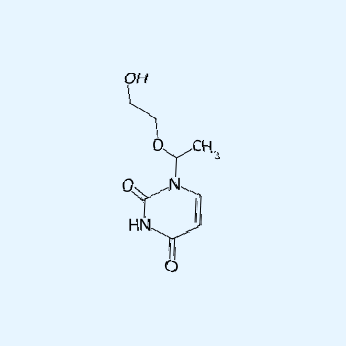 CC(OCCO)n1ccc(=O)[nH]c1=O